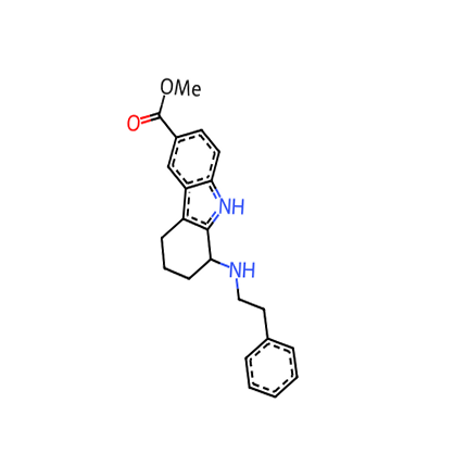 COC(=O)c1ccc2[nH]c3c(c2c1)CCCC3NCCc1ccccc1